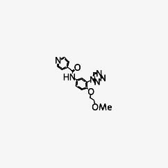 COCCOc1ccc(NC(=O)c2ccncc2)cc1-n1cnnn1